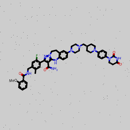 COc1ccccc1C(=O)NCc1cc(F)c(-c2nn3c(c2C(N)=O)Nc2ccc(N4CCN(CC5CCN(c6ccc(N7CCC(=O)NC7=O)cc6)CC5)CC4)cc2CC3)cc1C